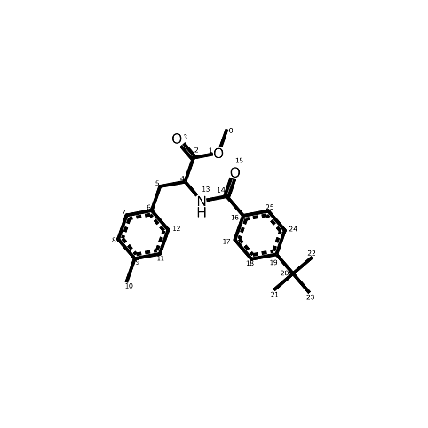 COC(=O)C(Cc1ccc(C)cc1)NC(=O)c1ccc(C(C)(C)C)cc1